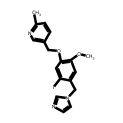 COc1cc(Cn2ccnc2)c(I)cc1OCc1ccc(C)nc1